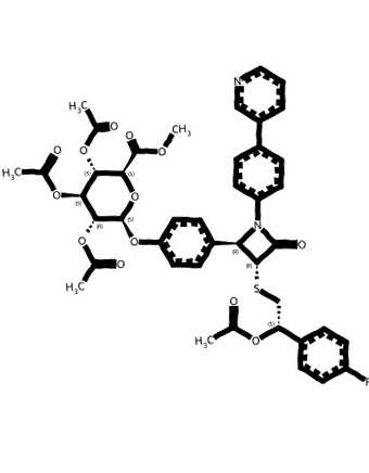 COC(=O)[C@H]1O[C@@H](Oc2ccc([C@@H]3[C@@H](SC[C@@H](OC(C)=O)c4ccc(F)cc4)C(=O)N3c3ccc(-c4cccnc4)cc3)cc2)[C@H](OC(C)=O)[C@@H](OC(C)=O)[C@@H]1OC(C)=O